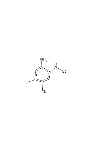 CCNc1cc(C#N)c(I)cc1N